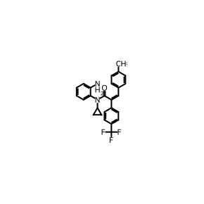 [CH]c1ccc(C=C(C(=O)N(c2ccccc2N)C2CC2)c2ccc(C(F)(F)F)cc2)cc1